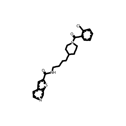 O=C(NCCCCC1CCN(C(=O)c2ccccc2Cl)CC1)c1cc2ccncc2s1